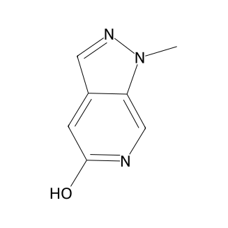 Cn1ncc2cc(O)ncc21